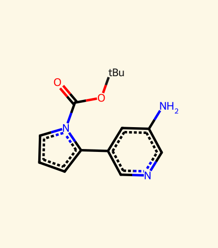 CC(C)(C)OC(=O)n1cccc1-c1cncc(N)c1